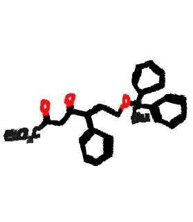 CCOC(=O)C(=O)CC(=O)C(CCO[Si](c1ccccc1)(c1ccccc1)C(C)(C)C)c1ccccc1